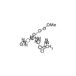 COCCOCCOCCCOc1nn(C2CCC(N3[C@@H]4CC[C@H]3COC4)CC2)cc1Nc1ncc(-c2ccc(Cl)c(OC(C)Cn3cncn3)c2)cn1